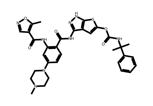 Cc1oncc1C(=O)Nc1cc(N2CCN(C)CC2)ccc1C(=O)Nc1n[nH]c2sc(OC(=O)NC(C)(C)c3ccccc3)cc12